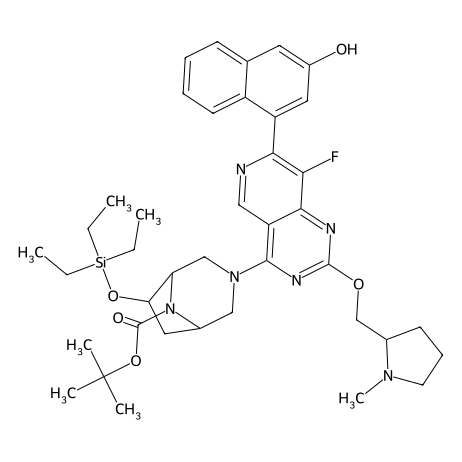 CC[Si](CC)(CC)OC1CC2CN(c3nc(OCC4CCCN4C)nc4c(F)c(-c5cc(O)cc6ccccc56)ncc34)CC1N2C(=O)OC(C)(C)C